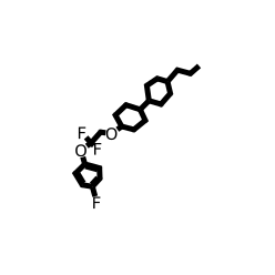 CCCC1CCC(C2CCC(OCC(F)(F)Oc3ccc(F)cc3)CC2)CC1